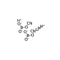 N#COB([O-])[O-].N#COB([O-])[O-].[H+].[H+].[H+].[Li+]